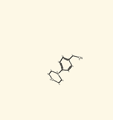 N#CCc1ccc(N2CCOCC2)cc1